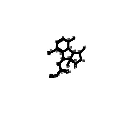 CNC(=O)ON1C2=C(Br)C=CC(C)C2C2C(C)CNC21C